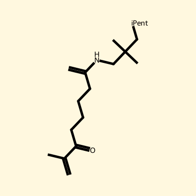 C=C(CCCCC(=O)C(=C)C)NCC(C)(C)CC(C)CCC